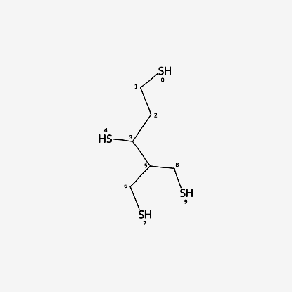 SCCC(S)C(CS)CS